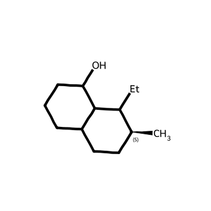 CCC1C2C(O)CCCC2CC[C@@H]1C